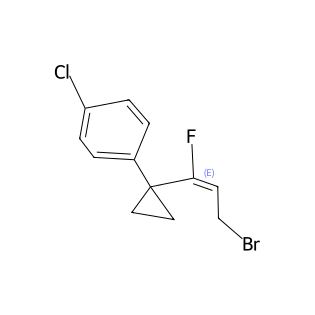 F/C(=C/CBr)C1(c2ccc(Cl)cc2)CC1